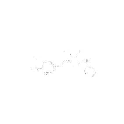 Cc1cc(/C=C/C(=O)N(C)C(C)c2cc3ccccc3[nH]2)cnc1N